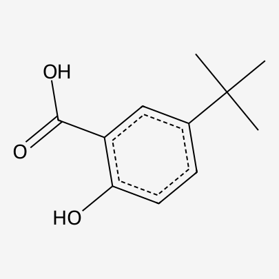 CC(C)(C)c1ccc(O)c(C(=O)O)c1